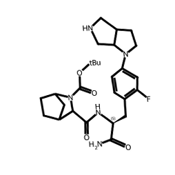 CC(C)(C)OC(=O)N1C2CCC(C2)C1C(=O)N[C@@H](Cc1ccc(N2CCC3CNCC32)cc1F)C(N)=O